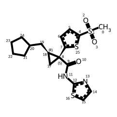 CS(=O)(=O)c1ccc([C@@]2(C(=O)Nc3nccs3)C[C@H]2CC2CCCC2)s1